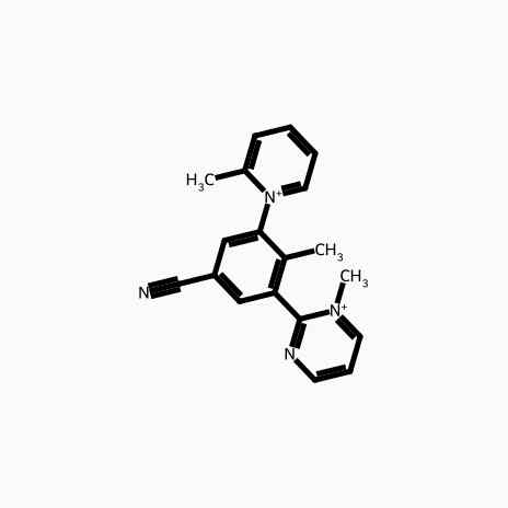 Cc1c(-c2nccc[n+]2C)cc(C#N)cc1-[n+]1ccccc1C